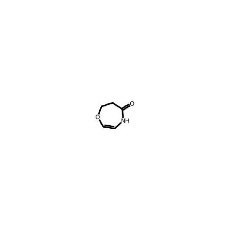 O=C1CCOC=CN1